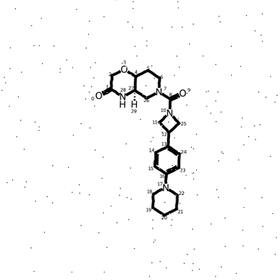 O=C1COC2CCN(C(=O)N3CC(c4ccc(N5CCCCC5)cc4)C3)C[C@H]2N1